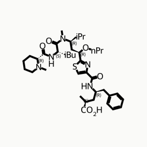 CCCO[C@H](C[C@H](C(C)C)N(C)C(=O)[C@@H](NC(=O)[C@H]1CCCCN1C)C(C)CC)c1nc(C(=O)N[C@@H](Cc2ccccc2)C[C@H](C)C(=O)O)cs1